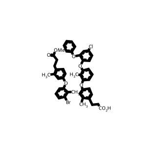 COC(=O)CCc1ccc(Oc2cccc(Br)c2C)cc1C.Cc1cc(Oc2cccc(Oc3ccc(Cl)cc3Oc3ccccc3)c2C)ccc1CCC(=O)O